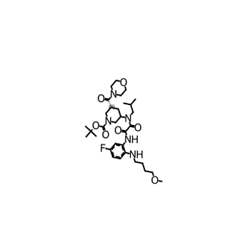 COCCCCNc1ccc(F)cc1NC(=O)C(=O)N(CC(C)C)C1C[C@@H](C(=O)N2CCOCC2)CN(C(=O)OC(C)(C)C)C1